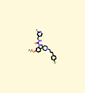 O=C(NCc1ccnc(F)c1)N1CC2(CCN(CC=Cc3ccc(Cl)cc3)CC2)c2ccc(OC(F)(F)F)cc21